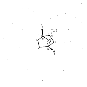 CC[C@@H]1C[C@@H]2CC[C@H]1O2